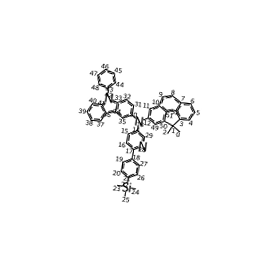 CC1(C)c2cccc3ccc4cc(N(c5ccc(-c6ccc([Si](C)(C)C)cc6)nc5)c5ccc6c(c5)c5ccccc5n6-c5ccccc5)cc1c4c23